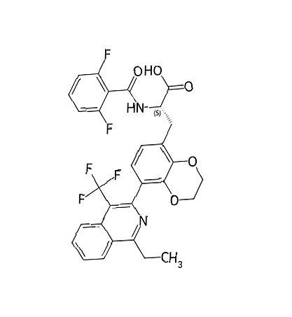 CCc1nc(-c2ccc(C[C@H](NC(=O)c3c(F)cccc3F)C(=O)O)c3c2OCCO3)c(C(F)(F)F)c2ccccc12